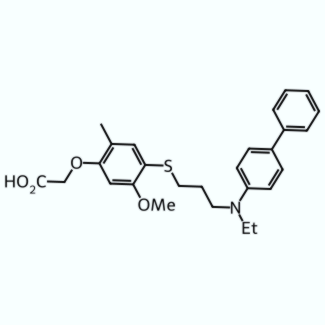 CCN(CCCSc1cc(C)c(OCC(=O)O)cc1OC)c1ccc(-c2ccccc2)cc1